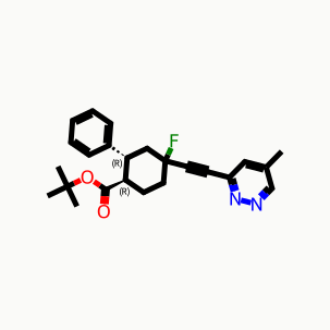 Cc1cnnc(C#CC2(F)CC[C@@H](C(=O)OC(C)(C)C)[C@H](c3ccccc3)C2)c1